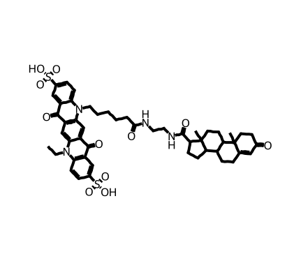 CCn1c2ccc(S(=O)(=O)O)cc2c(=O)c2cc3c(cc21)c(=O)c1cc(S(=O)(=O)O)ccc1n3CCCCCC(=O)NCCNC(=O)C1CCC2C3CCC4=CC(=O)CCC4(C)C3CCC12C